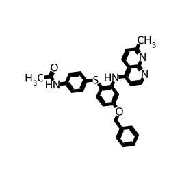 CC(=O)Nc1ccc(Sc2ccc(OCc3ccccc3)cc2Nc2ccnc3nc(C)ccc23)cc1